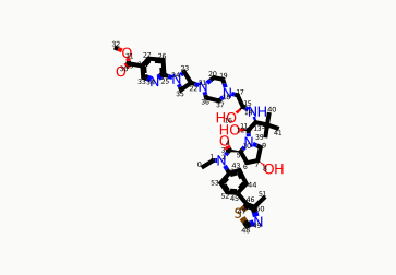 CCN(C(=O)[C@@H]1C[C@@H](O)CN1[C@@H](O)[C@@H](N[C@@H](O)CN1CCN(C2CN(c3ccc(C(=O)OC)cn3)C2)CC1)C(C)(C)C)c1ccc(-c2scnc2C)cc1